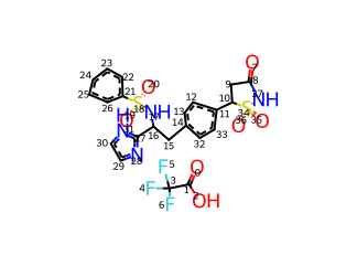 O=C(O)C(F)(F)F.O=C1CC(c2ccc(CC(NS(=O)(=O)c3ccccc3)c3ncc[nH]3)cc2)S(=O)(=O)N1